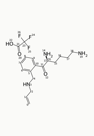 C=CCNCc1ccccc1C(=O)[C@@H](N)CCCCN.O=C(O)C(F)(F)F